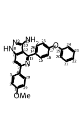 COc1ccc(-c2cc3[nH]nc(N)c3c(-c3ccc(Oc4ccccc4)cc3)n2)cc1